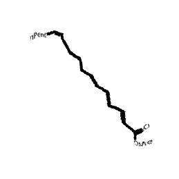 CCCCC/C=C\CCCCCCCCCC(=O)OC